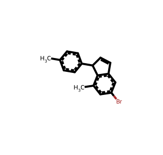 Cc1ccc(C2C=Cc3cc(Br)cc(C)c32)cc1